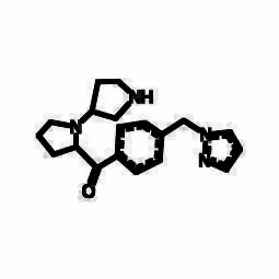 O=C(c1ccc(Cn2cccn2)cc1)C1CCCN1C1CCNC1